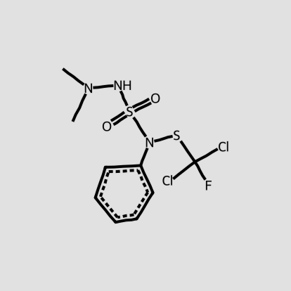 CN(C)NS(=O)(=O)N(SC(F)(Cl)Cl)c1ccccc1